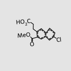 COC(=O)c1cc2cc(Cl)ccc2cc1CCC(=O)O